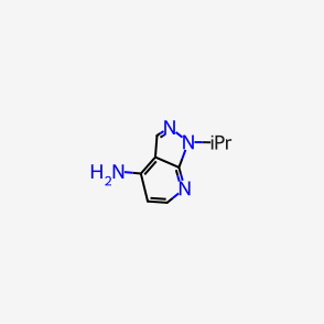 CC(C)n1ncc2c(N)ccnc21